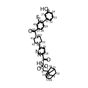 O=C(NS(=O)(=O)CC12CC3CC(CC(C3)C1)C2)c1ccc(N2CCN(C(=O)c3ccc(-c4cccc(O)c4)c(F)c3)CC2)nn1